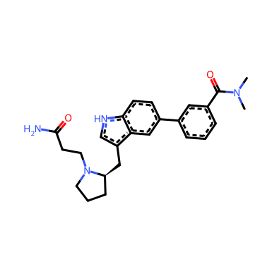 CN(C)C(=O)c1cccc(-c2ccc3[nH]cc(C[C@H]4CCCN4CCC(N)=O)c3c2)c1